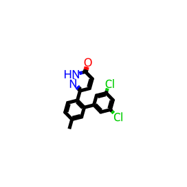 Cc1ccc(-c2ccc(=O)[nH]n2)c(-c2cc(Cl)cc(Cl)c2)c1